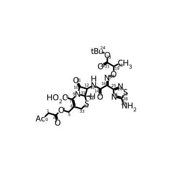 CC(=O)CC(=O)OCC1=C(C(=O)O)N2C(=O)C(NC(=O)C(=NOC(C)C(=O)OC(C)(C)C)c3nsc(N)n3)[C@@H]2SC1